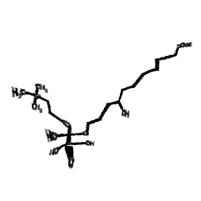 CCCCCCCCCCCCCCCCC(O)CCCOC(O)(OCC[N+](C)(C)C)P(=O)(O)O